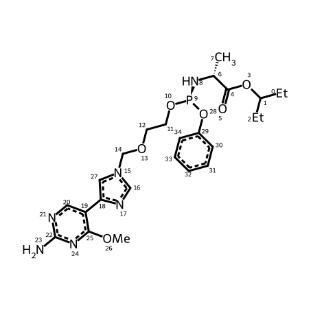 CCC(CC)OC(=O)[C@@H](C)N[P@](OCCOCn1cnc(-c2cnc(N)nc2OC)c1)Oc1ccccc1